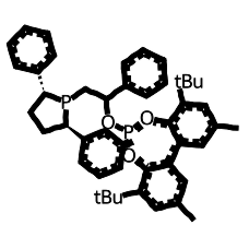 Cc1cc(C(C)(C)C)c2op(OC(CP3[C@@H](c4ccccc4)CC[C@@H]3c3ccccc3)c3ccccc3)oc3c(C(C)(C)C)cc(C)cc3c2c1